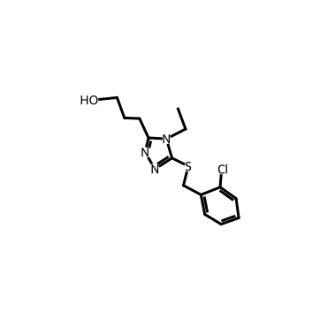 CCn1c(CCCO)nnc1SCc1ccccc1Cl